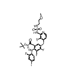 COCCNS(=O)(=O)Nc1nccc(Cc2cc(C(=O)NOC(C)(C)C)c(Nc3ccc(I)cc3F)c(F)c2F)c1F